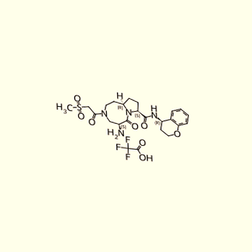 CS(=O)(=O)CC(=O)N1CC[C@H]2CC[C@@H](C(=O)N[C@@H]3CCOc4ccccc43)N2C(=O)[C@@H](N)C1.O=C(O)C(F)(F)F